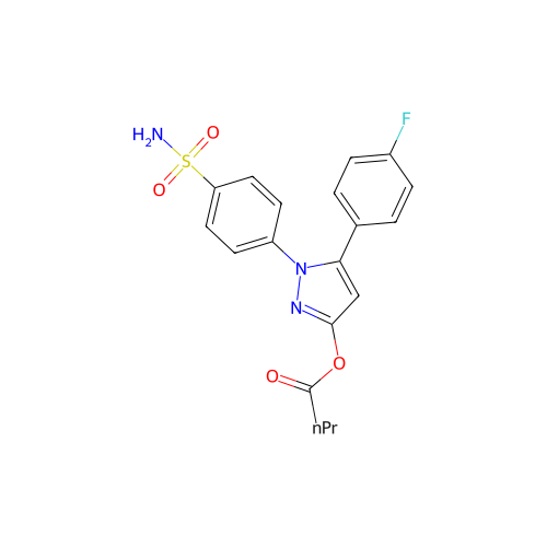 CCCC(=O)Oc1cc(-c2ccc(F)cc2)n(-c2ccc(S(N)(=O)=O)cc2)n1